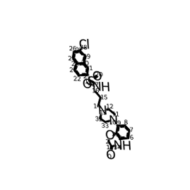 O=C1COc2c(cccc2N2CCN(CCCNS(=O)(=O)c3ccc4ccc(Cl)cc4c3)CC2)N1